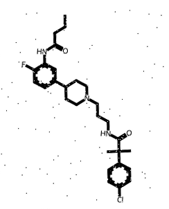 CCCC(=O)Nc1cc(C2CCN(CCCNC(=O)C(C)(C)c3ccc(Cl)cc3)CC2)ccc1F